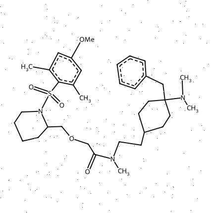 COc1cc(C)c(S(=O)(=O)N2CCCCC2COCC(=O)N(C)CCC2CCC(Cc3ccccc3)(N(C)C)CC2)c(C)c1